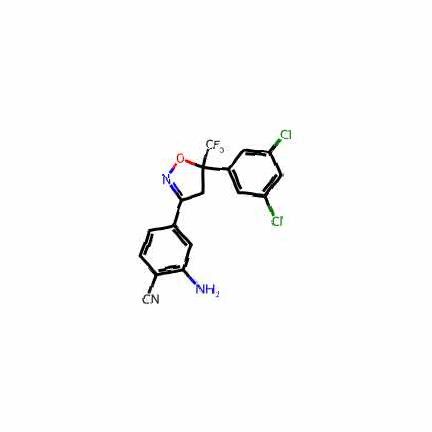 N#Cc1ccc(C2=NOC(c3cc(Cl)cc(Cl)c3)(C(F)(F)F)C2)cc1N